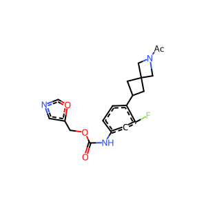 CC(=O)N1CC2(CC(c3ccc(NC(=O)OCc4cnco4)cc3F)C2)C1